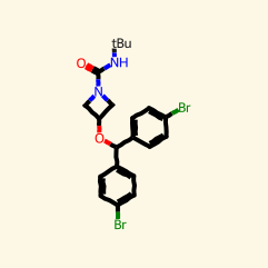 CC(C)(C)NC(=O)N1CC(OC(c2ccc(Br)cc2)c2ccc(Br)cc2)C1